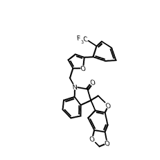 O=C1N(Cc2ccc(-c3ccccc3C(F)(F)F)o2)c2ccccc2C12COc1cc3c(cc12)OCO3